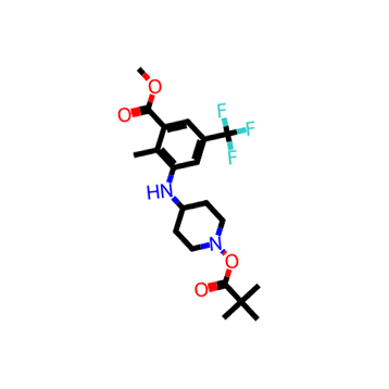 COC(=O)c1cc(C(F)(F)F)cc(NC2CCN(OC(=O)C(C)(C)C)CC2)c1C